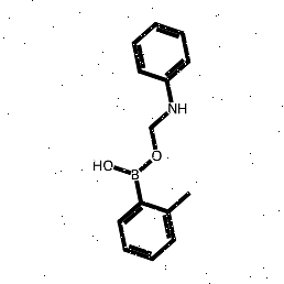 Cc1ccccc1B(O)OCNc1ccccc1